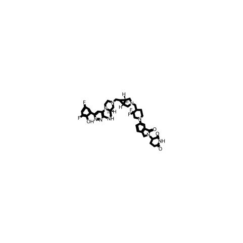 O=C1CCC(N2Cc3ccc(N4CCC(CN5C[C@@H]6C(CN7CCN8c9cc(-c%10cc(F)cc(F)c%10O)nnc9NC[C@H]8C7)[C@@H]6C5)C(F)(F)C4)cc3C2=O)C(=O)N1